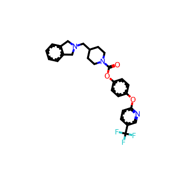 O=C(Oc1ccc(Oc2ccc(C(F)(F)F)cn2)cc1)N1CCC(CN2Cc3ccccc3C2)CC1